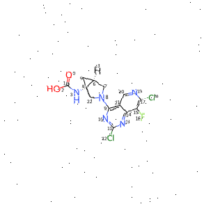 O=C(O)N[C@]12C[C@H]1CN(c1nc(Cl)nc3c(F)c(Cl)ncc13)C2